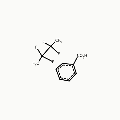 FC(F)(F)C(F)(F)C(F)(F)C(F)(F)F.O=C(O)c1ccccc1